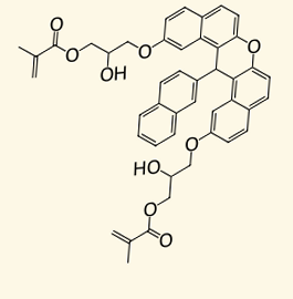 C=C(C)C(=O)OCC(O)COc1ccc2ccc3c(c2c1)C(c1ccc2ccccc2c1)c1c(ccc2ccc(OCC(O)COC(=O)C(=C)C)cc12)O3